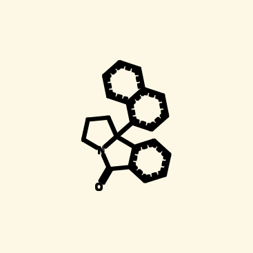 O=C1c2ccccc2C2(c3cccc4ccccc34)CCCN12